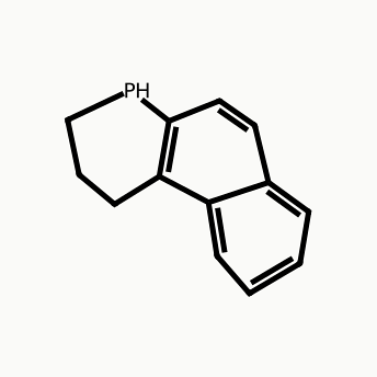 c1ccc2c3c(ccc2c1)PCCC3